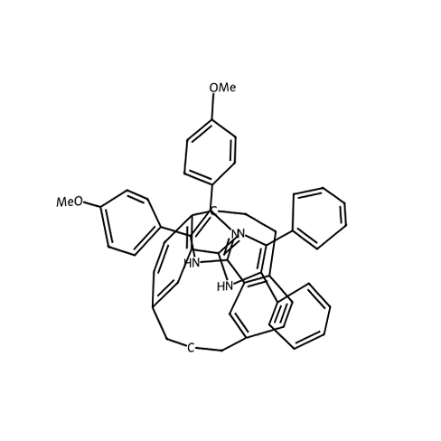 COc1ccc(-c2nc(-c3cc4ccc3CCCc3ccc(cc3-c3nc(-c5ccccc5)c(-c5ccccc5)[nH]3)CCC4)[nH]c2-c2ccc(OC)cc2)cc1